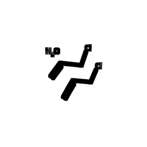 C=CCCl.C=CCCl.O